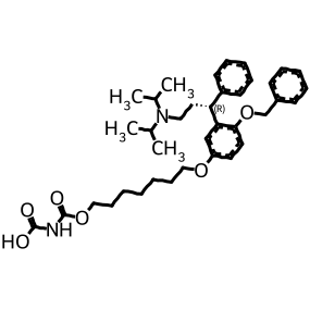 CC(C)N(CC[C@H](c1ccccc1)c1cc(OCCCCCCCOC(=O)NC(=O)O)ccc1OCc1ccccc1)C(C)C